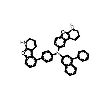 C1=Cc2c(oc3ccc(N(c4ccc(-c5cccc6oc7c(c56)C=CCN7)cc4)c4cc(-c5ccccc5)c5ccccc5c4)cc23)NC1